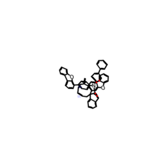 C=C1/C=C\C=C/CC2(c3cc4oc5ccccc5c4cc31)c1ccccc1-c1cccc(N(c3ccc(-c4ccccc4)cc3)c3ccc(-c4cccc5c4oc4ccccc45)cc3)c12